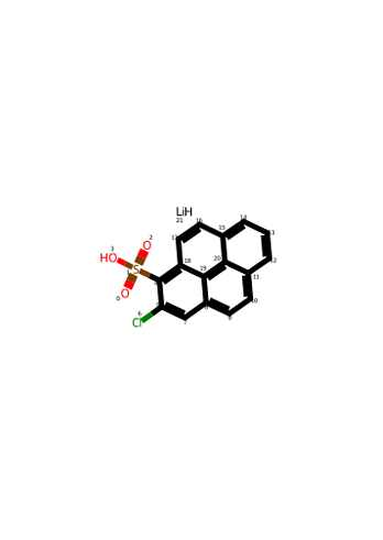 O=S(=O)(O)c1c(Cl)cc2ccc3cccc4ccc1c2c34.[LiH]